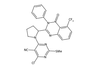 CSc1nc(Cl)c(C#N)c(N2CCCC2c2nc3cccc(C(F)(F)F)c3c(=O)n2-c2ccccc2)n1